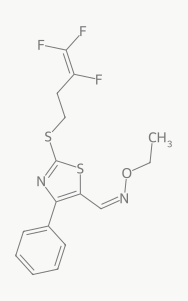 CCO/N=C\c1sc(SCCC(F)=C(F)F)nc1-c1ccccc1